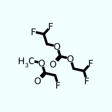 COC(=O)CF.O=C(OCC(F)F)OCC(F)F